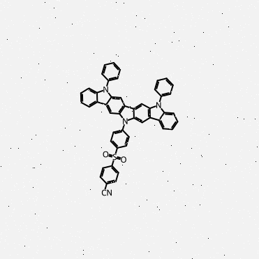 N#Cc1ccc(S(=O)(=O)c2ccc(-n3c4cc5c6ccccc6n(-c6ccccc6)c5cc4c4cc5c(cc43)c3ccccc3n5-c3ccccc3)cc2)cc1